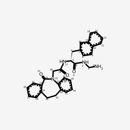 NCNC(=O)[C@@H](Cc1ccc2ccccc2c1)NC(=O)CN1C(=O)c2ccccc2CCc2ccccc21